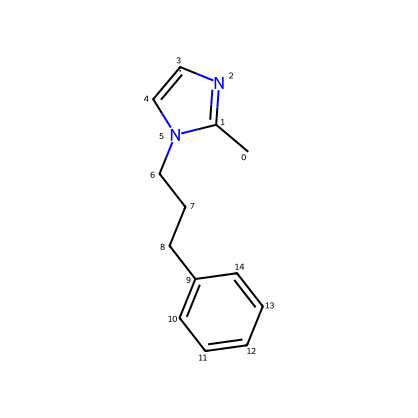 Cc1n[c]cn1CCCc1ccccc1